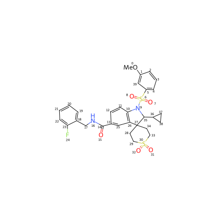 COc1cccc(S(=O)(=O)N2c3ccc(C(=O)NCc4ccccc4F)cc3C3(CCS(=O)(=O)CC3)C2C2CC2)c1